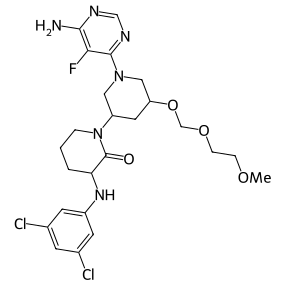 COCCOCOC1CC(N2CCCC(Nc3cc(Cl)cc(Cl)c3)C2=O)CN(c2ncnc(N)c2F)C1